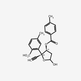 C#C[C@]1(c2cc(C)ccc2C(=O)O)OC(O)C[C@@H]1OC(=O)c1ccc(C)cc1